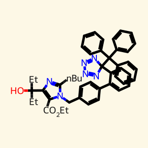 CCCCc1nc(C(O)(CC)CC)c(C(=O)OCC)n1Cc1ccc(-c2ccccc2C2(C(c3ccccc3)(c3ccccc3)c3ccccc3)N=NN=N2)cc1